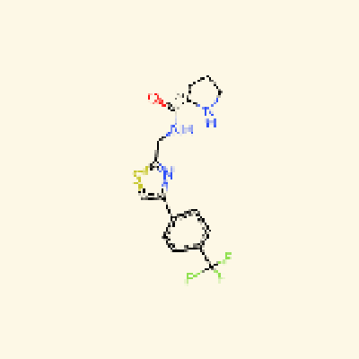 O=C(NCc1nc(-c2ccc(C(F)(F)F)cc2)cs1)[C@@H]1CCCN1